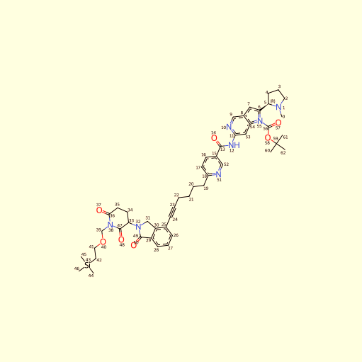 CN1CCC[C@@H]1c1cc2cnc(NC(=O)c3ccc(CCCCC#Cc4cccc5c4CN(C4CCC(=O)N(COCC[Si](C)(C)C)C4=O)C5=O)nc3)cc2n1C(=O)OC(C)(C)C